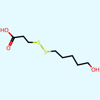 O=C(O)CCSSCCCCCO